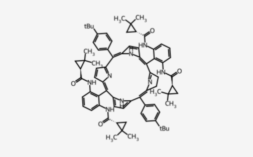 CC(C)(C)c1ccc(-c2c3nc(c(-c4c(NC(=O)[C@H]5CC5(C)C)cccc4NC(=O)[C@@H]4CC4(C)C)c4ccc([nH]4)c(-c4ccc(C(C)(C)C)cc4)c4nc(c(-c5c(NC(=O)[C@H]6CC6(C)C)cccc5NC(=O)[C@@H]5CC5(C)C)c5ccc2[nH]5)CC4)C=C3)cc1